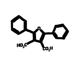 O=C(O)c1c(-c2ccccc2)oc(-c2ccccc2)c1C(=O)O